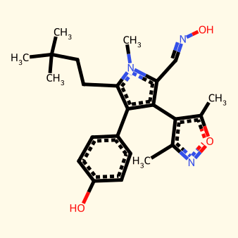 Cc1noc(C)c1-c1c(-c2ccc(O)cc2)c(CCC(C)(C)C)n(C)c1C=NO